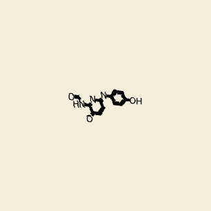 O=CNC1=N/C(=N/c2ccc(O)cc2)C=CC1=O